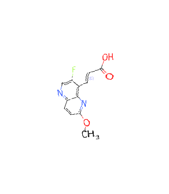 COc1ccc2ncc(F)c(/C=C/C(=O)O)c2n1